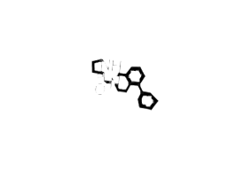 O=C([C@@H]1CCCN1)N1CCc2c(cccc2-c2ccccc2)C1